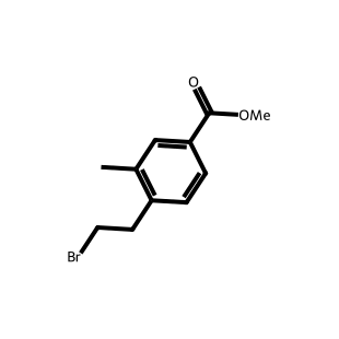 COC(=O)c1ccc(CCBr)c(C)c1